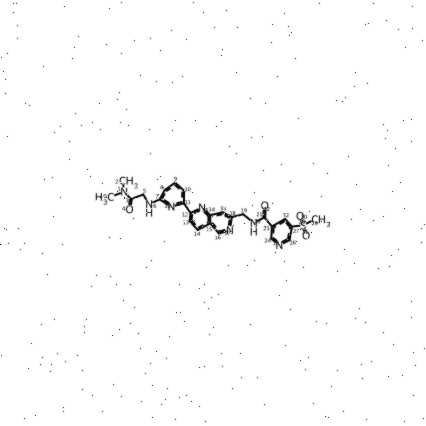 CN(C)C(=O)CNc1cccc(-c2ccc3cnc(CNC(=O)c4cncc(S(C)(=O)=O)c4)cc3n2)n1